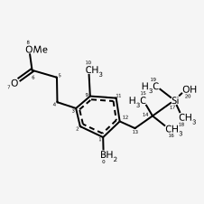 Bc1cc(CCC(=O)OC)c(C)cc1CC(C)(C)[Si](C)(C)O